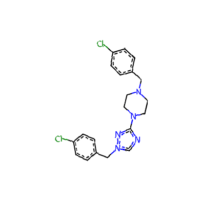 Clc1ccc(CN2CCN(c3ncn(Cc4ccc(Cl)cc4)n3)CC2)cc1